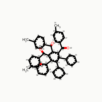 Cc1ccc(C(=O)c2c(C(=O)c3ccc(C)cc3)c(-c3ccccc3)c(-c3ccccc3)c(-c3ccccc3)c2C(=O)c2ccc(C)cc2)cc1